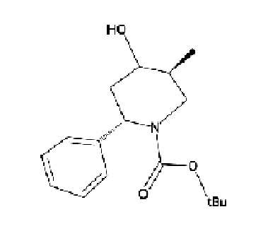 C[C@H]1CN(C(=O)OC(C)(C)C)[C@H](c2ccccc2)CC1O